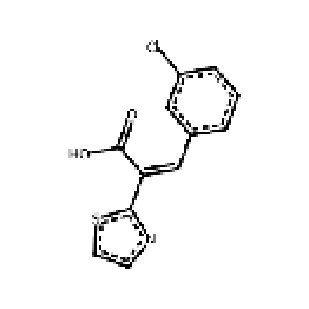 O=C(O)/C(=C\c1cccc(Cl)c1)c1nccs1